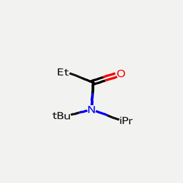 [CH2]CC(=O)N(C(C)C)C(C)(C)C